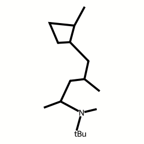 CC(CC1CCC1C)CC(C)N(C)C(C)(C)C